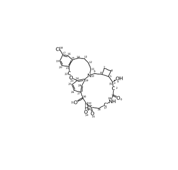 O=C1C[C@H](O)C2CCC2CN2CCCCc3cc(Cl)ccc3COc3ccc(cc32)C(=O)NS(=O)(=O)CCN1